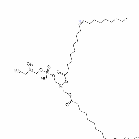 CCCCCCC/C=C\CCCCCCCC(=O)OC[C@H](COP(=O)(O)OC[C@@H](O)CO)OC(=O)CCCCCCCCC/C=C\CCCCCCCC